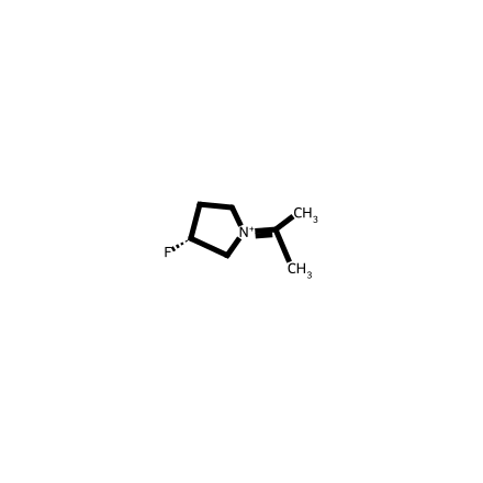 CC(C)=[N+]1CC[C@@H](F)C1